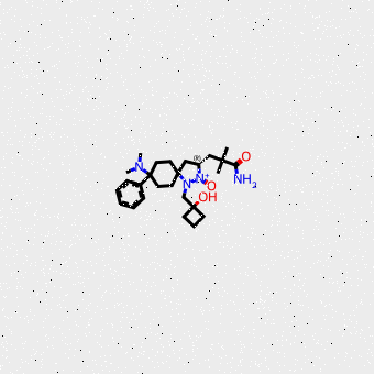 CN(C)C1(c2ccccc2)CCC2(CC1)C[C@@H](CC(C)(C)C(N)=O)[N+](=O)N2CC1(O)CCC1